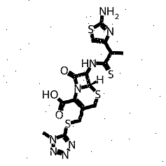 CC(C(=S)NC1C(=O)N2C(C(=O)O)=C(CSc3nnnn3C)CS[C@@H]12)c1csc(N)n1